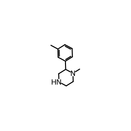 Cc1cccc(C2CNCCN2C)c1